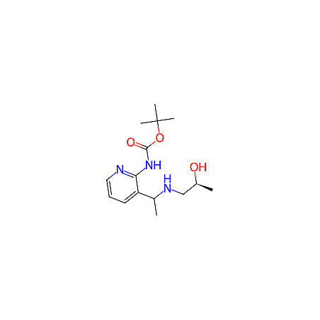 CC(NC[C@H](C)O)c1cccnc1NC(=O)OC(C)(C)C